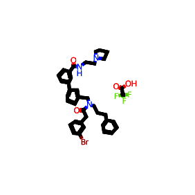 O=C(NCCN1CCCC1)c1cccc(-c2cccc(CN(CCCc3ccccc3)C(=O)Cc3cccc(Br)c3)c2)c1.O=C(O)C(F)(F)F